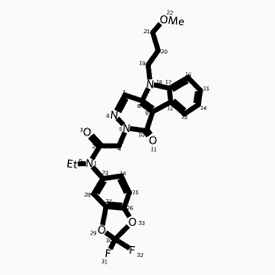 CCN(C(=O)Cn1ncc2c(c1=O)c1ccccc1n2CCCOC)c1ccc2c(c1)OC(F)(F)O2